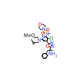 COCCN(CC1CC1C)c1cc(-c2nnc([C@](C)(N)Cc3ccccc3)o2)c(Cl)c(N(C)S(=O)(=O)N2CCOCC2)n1